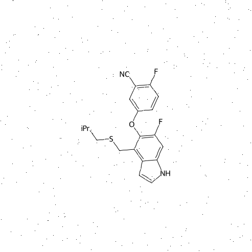 CC(C)CSCc1c(Oc2ccc(F)c(C#N)c2)c(F)cc2[nH]ccc12